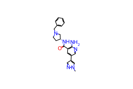 Cn1cc(-c2cnc(N)c(C(=O)N[C@@H]3CCN(Cc4ccccc4)C3)c2)cn1